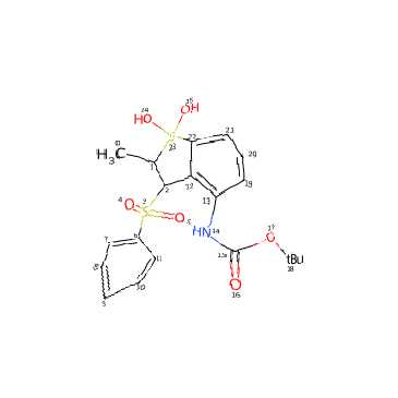 CC1C(S(=O)(=O)c2ccccc2)c2c(NC(=O)OC(C)(C)C)cccc2S1(O)O